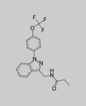 CCC(=O)NCc1nn(-c2ccc(OC(F)(F)F)cc2)c2ccccc12